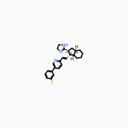 Fc1cccc(-c2ccc(C=C[C@H]3[C@@H]4CCCC[C@@H]4C[C@@H]3C3=NCCN3)nc2)c1